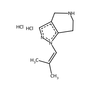 CC(C)=Cn1ncc2c1CCNC2.Cl.Cl